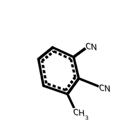 Cc1cccc(C#N)c1C#N